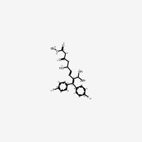 CCCC(C(C=CC(O)CC(=O)CC(=O)OC(C)(C)C)=C(c1ccc(F)cc1)c1ccc(F)cc1)C(C)C